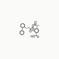 CC(c1ccc(C(=O)O)cc1NC(=O)CCc1ccccc1-c1ccccc1)[N+](=O)[O-]